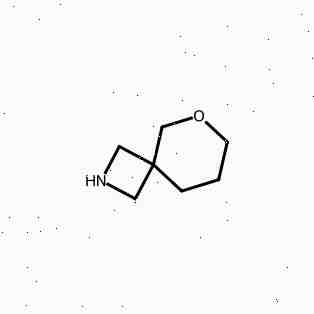 [CH]1NCC12CCCOC2